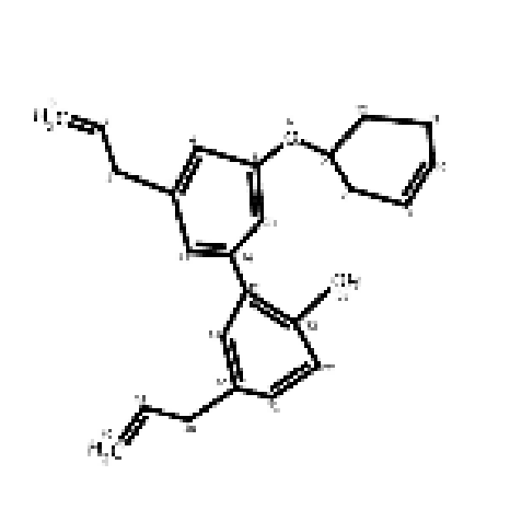 C=CCc1cc(OC2CC=CCC2)cc(-c2cc(CC=C)ccc2O)c1